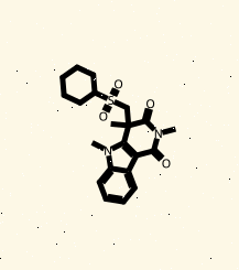 CN1C(=O)c2c(n(C)c3ccccc23)C(C)(CS(=O)(=O)C2CCCCC2)C1=O